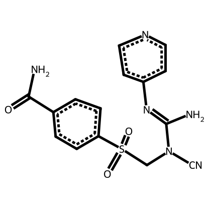 N#CN(CS(=O)(=O)c1ccc(C(N)=O)cc1)C(N)=Nc1ccncc1